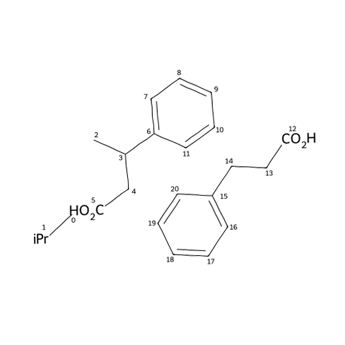 CC(C)C.CC(CC(=O)O)c1ccccc1.O=C(O)CCc1ccccc1